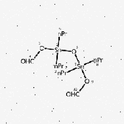 CC[CH2][Sn]([CH2]CC)([O]C=O)[O][Sn]([CH2]CC)([CH2]CC)[O]C=O